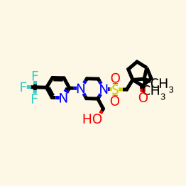 CC1(C)C2CCC1(CS(=O)(=O)N1CCN(c3ccc(C(F)(F)F)cn3)CC1CO)C(=O)C2